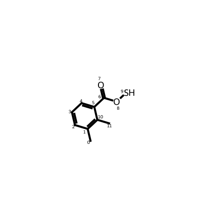 Cc1cccc(C(=O)OS)c1C